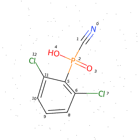 N#CP(=O)(O)c1c(Cl)cccc1Cl